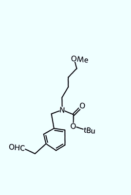 COCCCCN(Cc1cccc(CC=O)c1)C(=O)OC(C)(C)C